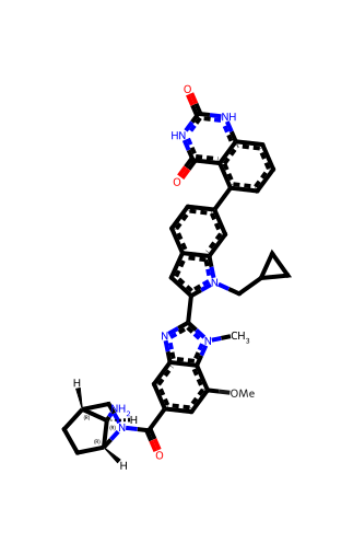 COc1cc(C(=O)N2C[C@H]3CC[C@@H]2[C@@H]3N)cc2nc(-c3cc4ccc(-c5cccc6[nH]c(=O)[nH]c(=O)c56)cc4n3CC3CC3)n(C)c12